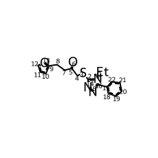 CCn1c(SCC(=O)CCc2ccco2)nnc1-c1ccccc1